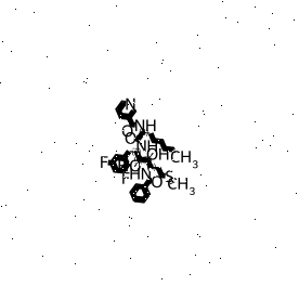 CCCCCC[C@@H](NC(=O)c1cccnc1)C(=O)N[C@@H](Cc1cc(F)cc(F)c1)[C@@H](O)[C@H](O)[C@@H](CCSC)NC(=O)c1ccccc1